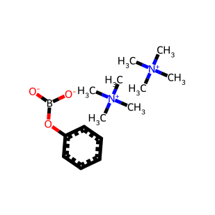 C[N+](C)(C)C.C[N+](C)(C)C.[O-]B([O-])Oc1ccccc1